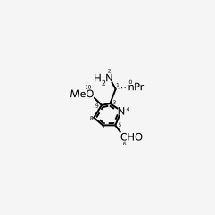 CCC[C@@H](N)c1nc(C=O)ccc1OC